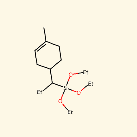 CCO[Si](OCC)(OCC)C(CC)C1CC=C(C)CC1